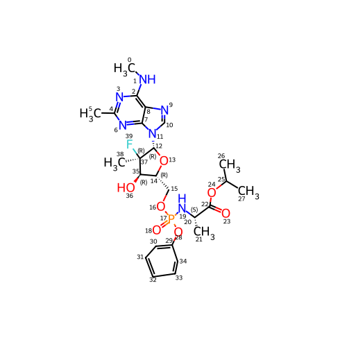 CNc1nc(C)nc2c1ncn2[C@@H]1O[C@H](COP(=O)(N[C@@H](C)C(=O)OC(C)C)Oc2ccccc2)[C@@H](O)[C@@]1(C)F